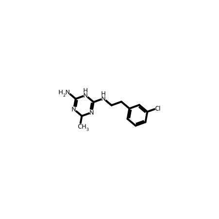 CC1N=C(N)NC(NCCc2cccc(Cl)c2)=N1